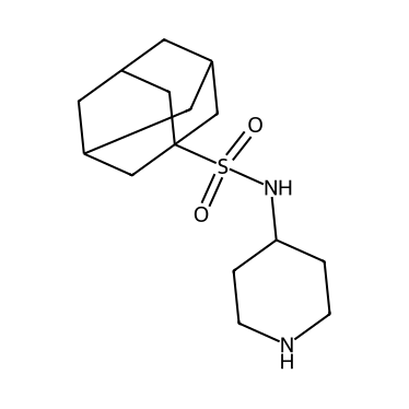 O=S(=O)(NC1CCNCC1)C12CC3CC(CC(C3)C1)C2